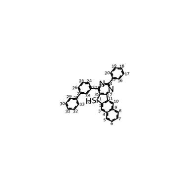 C[SiH]1c2cc3ccccc3cc2-c2nc(-c3ccccc3)nc(-c3cccc(-c4ccccc4)c3)c21